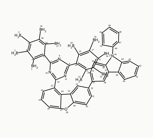 Bc1c(B)c(B)c(-c2nc(-c3c(B)c(B)c(B)c(B)c3B)nc(-c3cccc4oc5ccc(-c6ccc7c(c6)c6ccccc6n7-c6ccccc6)cc5c34)n2)c(B)c1B